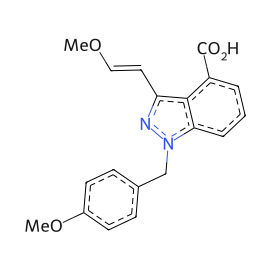 CO/C=C/c1nn(Cc2ccc(OC)cc2)c2cccc(C(=O)O)c12